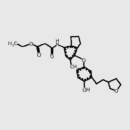 CCOC(=O)CC(=O)Nc1cc(C)c(Oc2ccc(O)c(CCC3CCOC3)c2)c2c1CCC2